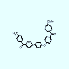 COC1=CCC=C(C(=O)c2ccc(Oc3ccc(-c4ccc(C(=O)c5ccc(C)cc5)cc4)cc3)cc2)C=C1